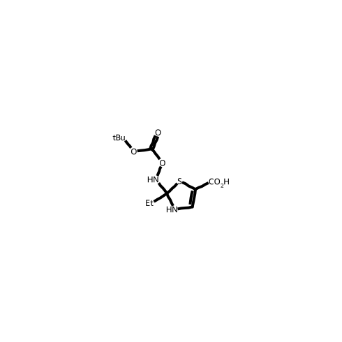 CCC1(NOC(=O)OC(C)(C)C)NC=C(C(=O)O)S1